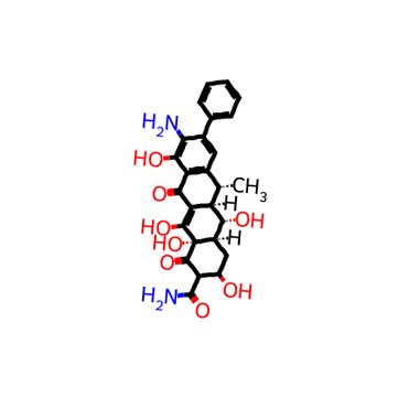 C[C@H]1c2cc(-c3ccccc3)c(N)c(O)c2C(=O)C2=C(O)[C@]3(O)C(=O)C(C(N)=O)C(O)C[C@@H]3[C@@H](O)[C@@H]21